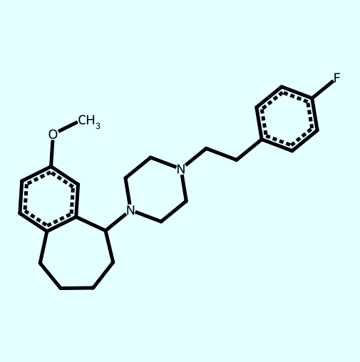 COc1ccc2c(c1)C(N1CCN(CCc3ccc(F)cc3)CC1)CCCC2